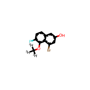 [2H]C([2H])([2H])Oc1c(F)ccc2cc(O)cc(Br)c12